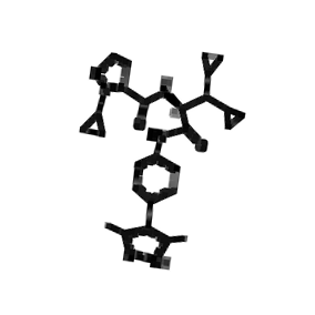 Cc1n[nH]c(C)c1-c1ccc(NC(=O)[C@@H](NC(=O)c2ccnn2C2CC2)C(C2CC2)C2CC2)cc1